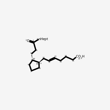 CCCCCCCC(=O)CC[C@H]1CCC[C@@H]1CC=CCCCC(=O)O